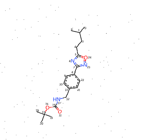 CC(C)CCc1nc(-c2ccc(CNC(=O)OC(C)(C)C)cc2)no1